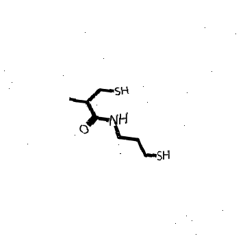 CC(CS)C(=O)NCCCS